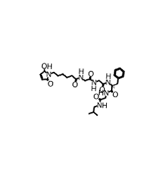 CC(C)CNC(=O)CNC(=O)[C@H](Cc1ccccc1)NC(=O)CNC(=O)CNC(=O)CCCCCN1C(=O)C=CC1O